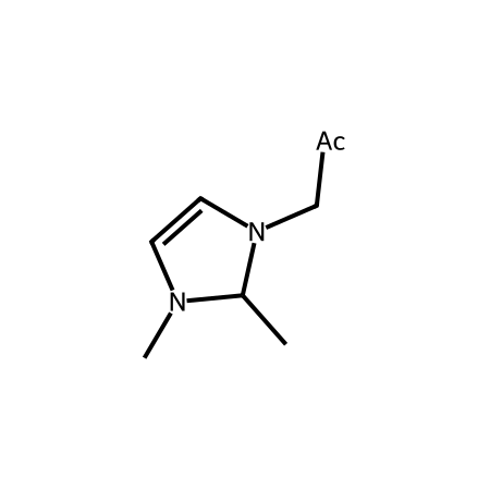 CC(=O)CN1C=CN(C)C1C